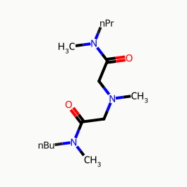 CCCCN(C)C(=O)CN(C)CC(=O)N(C)CCC